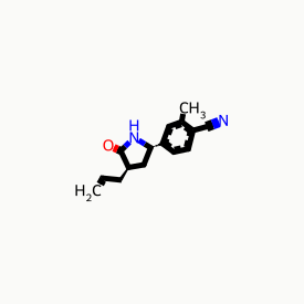 C=CC[C@@H]1C[C@@H](c2ccc(C#N)c(C)c2)NC1=O